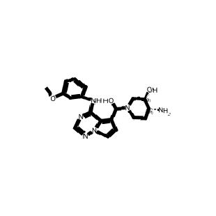 COc1cccc(Nc2ncnn3ccc(C(O)N4CC[C@@H](N)[C@H](O)C4)c23)c1